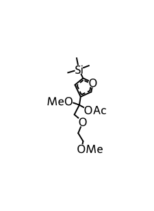 COCCOCC(OC)(OC(C)=O)c1coc([Si](C)(C)C)c1